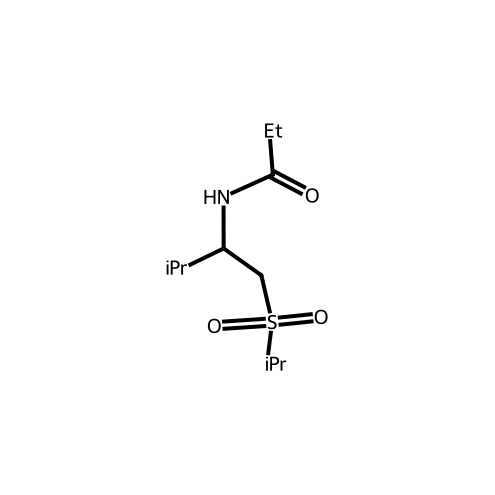 CCC(=O)NC(CS(=O)(=O)C(C)C)C(C)C